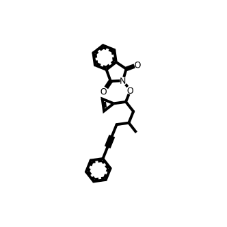 CC(CC#Cc1ccccc1)CC(ON1C(=O)c2ccccc2C1=O)C1C=C1